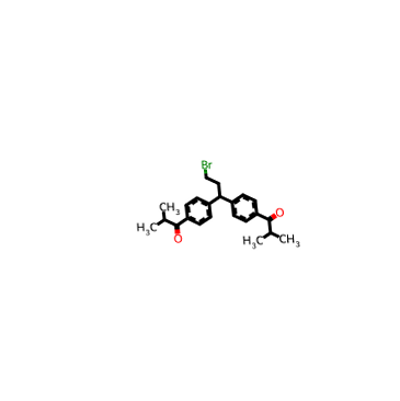 CC(C)C(=O)c1ccc(C(CCBr)c2ccc(C(=O)C(C)C)cc2)cc1